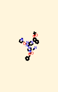 CN1CCC[C@H]1COc1nc2c(c(N3CCN(C(=O)OCc4ccccc4)[C@@H](CC#N)C3)n1)CCN(c1cc(OC(=O)C(C)(C)C)cc3ccccc13)C2